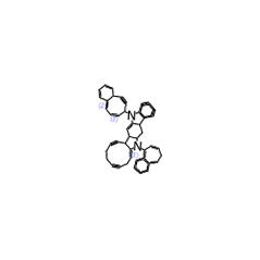 C1#CCCC#CC2/C(=C\C1)N(C1=c3ccccc3=CCC=C1)C1CC3C(=CC21)N(C1C#CC2C=CC=C/C2=C/C=C\1)c1c#cc#cc13